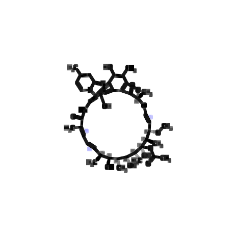 CO[C@H]1/C=C/O[C@@]2(C)Oc3c(C)c(O)c4c(O)c(c5c(nc6cc(C)ccn65)c4c3C2=O)NC(=O)/C(C)=C\C=C\[C@H](C)[C@H](O)[C@@H](C)[C@@H](O)[C@@H](C)[C@](O)(OC(C)=O)[C@@H]1C